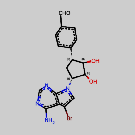 Nc1ncnc2c1c(Br)cn2[C@@H]1C[C@H](c2ccc(C=O)cc2)[C@@H](O)[C@H]1O